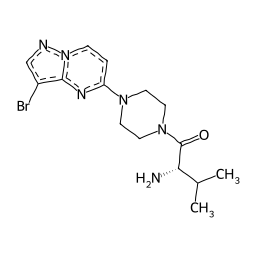 CC(C)[C@H](N)C(=O)N1CCN(c2ccn3ncc(Br)c3n2)CC1